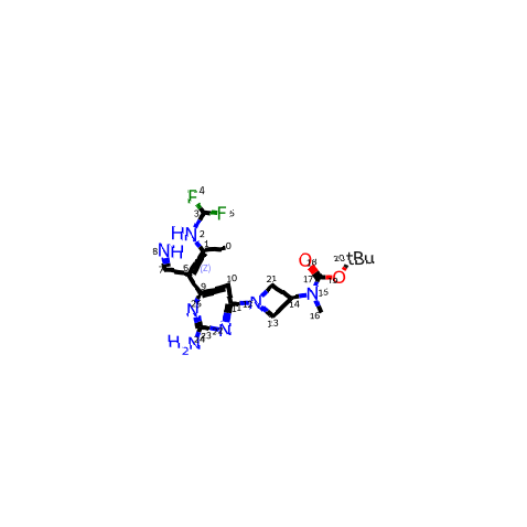 C/C(NC(F)F)=C(/C=N)c1cc(N2CC(N(C)C(=O)OC(C)(C)C)C2)nc(N)n1